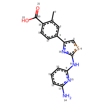 Cc1cc(-c2csc(Nc3cccc(N)n3)n2)ccc1C(=O)O